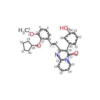 COc1cccc(/C=C/c2nc3ccccn3c(=O)c2-c2cccc(O)c2)c1OC1CCCC1